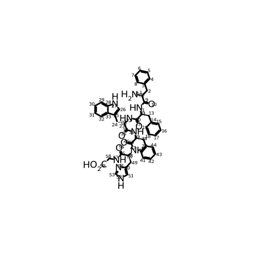 N[C@@H](Cc1ccccc1)C(=O)N[C@@H](Cc1ccccc1)C(=O)N[C@@H](Cc1c[nH]c2ccccc12)C(=O)N[C@@H](Cc1ccccc1)C(=O)N[C@@H](Cc1c[nH]cn1)C(=O)NCC(=O)O